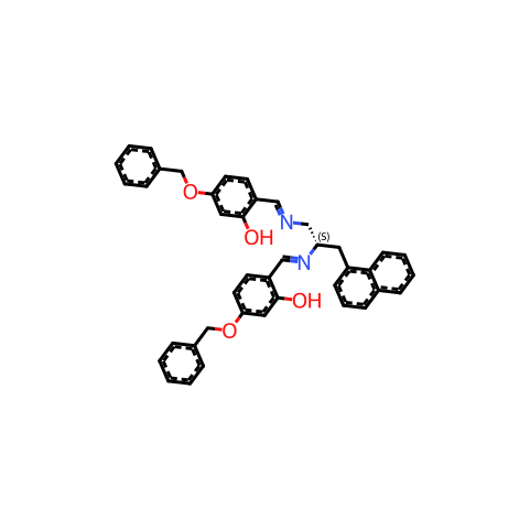 Oc1cc(OCc2ccccc2)ccc1C=NC[C@H](Cc1cccc2ccccc12)N=Cc1ccc(OCc2ccccc2)cc1O